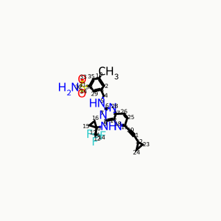 Cc1cc(CNc2nc(NC3(C(F)(F)F)CC3)c3nc(C#CC4CC4)ccc3n2)cc(S(N)(=O)=O)c1